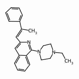 CCN1CCN(c2nc(/C=C(\C)c3ccccc3)cc3ccccc23)CC1